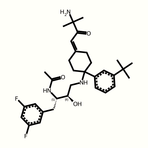 CC(=O)N[C@@H](Cc1cc(F)cc(F)c1)[C@H](O)CNC1(c2cccc(C(C)(C)C)c2)CCC(=CC(=O)C(C)(C)N)CC1